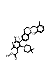 Cc1cccc(Cl)c1CN1CCc2cc(-c3c(N)nc(C)c(CC(=O)OC(C)C)c3N3CCC(C)(C)CC3)ccc2C1